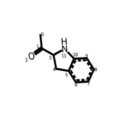 CC(=O)C1Cc2ccccc2N1